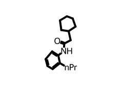 [CH2]CCc1ccccc1NC(=O)CC1CCCCC1